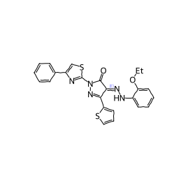 CCOc1ccccc1N/N=C1/C(=O)N(c2nc(-c3ccccc3)cs2)N=C1c1cccs1